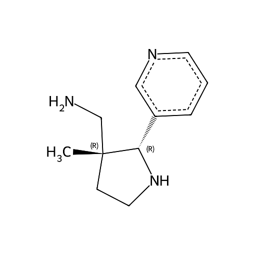 C[C@]1(CN)CCN[C@H]1c1cccnc1